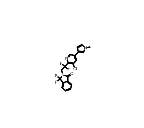 Cn1ccc(-c2cnc(C(F)(F)CN3C(=O)c4ccccc4C3(F)F)c(Cl)c2)c1